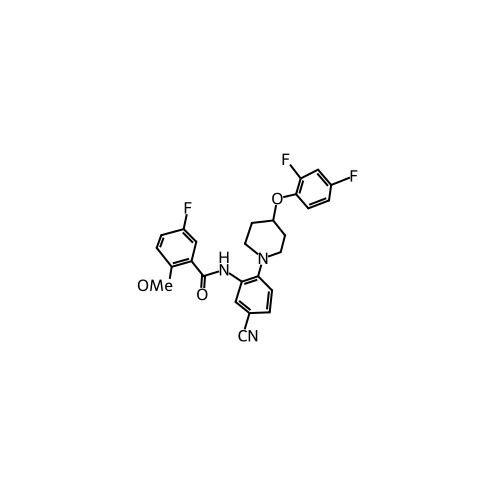 COc1ccc(F)cc1C(=O)Nc1cc(C#N)ccc1N1CCC(Oc2ccc(F)cc2F)CC1